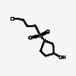 O=S(=O)(CCCCl)N1CCC(O)C1